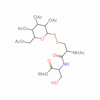 COC(=O)C(CO)NC(=O)C(CSSC1OC(COC(C)=O)C(OC(C)=O)C(OC(C)=O)C1OC(C)=O)NC(C)=O